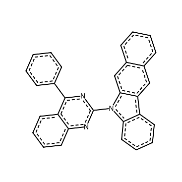 c1ccc(-c2nc(-n3c4ccccc4c4cc5ccccc5cc43)nc3ccccc23)cc1